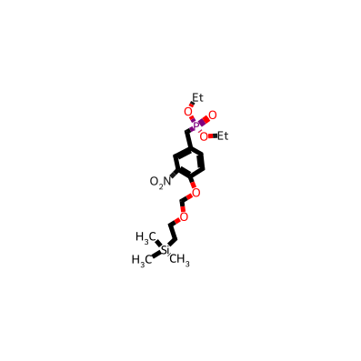 CCOP(=O)(Cc1ccc(OCOCC[Si](C)(C)C)c([N+](=O)[O-])c1)OCC